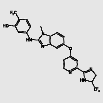 Cn1c(Nc2ccc(C(F)(F)F)c(O)c2)nc2cc(Oc3ccnc(C4=NCC(C(F)(F)F)N4)c3)ccc21